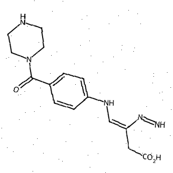 N=N/C(=C\Nc1ccc(C(=O)N2CCNCC2)cc1)CC(=O)O